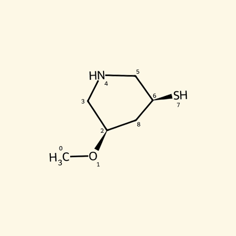 CO[C@H]1CNC[C@@H](S)C1